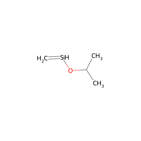 C=[SiH]OC(C)C